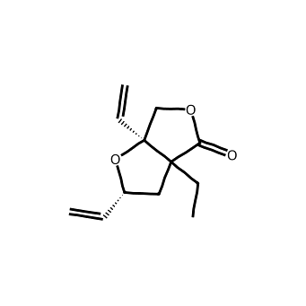 C=C[C@H]1CC2(CC)C(=O)OC[C@]2(C=C)O1